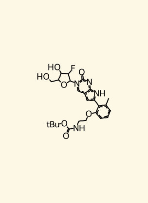 Cc1cccc(OCCNC(=O)OC(C)(C)C)c1-c1cc2cn(C3OC(CO)C(O)C3F)c(=O)nc2[nH]1